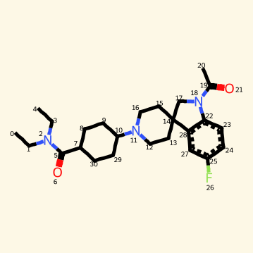 CCN(CC)C(=O)C1CCC(N2CCC3(CC2)CN(C(C)=O)c2ccc(F)cc23)CC1